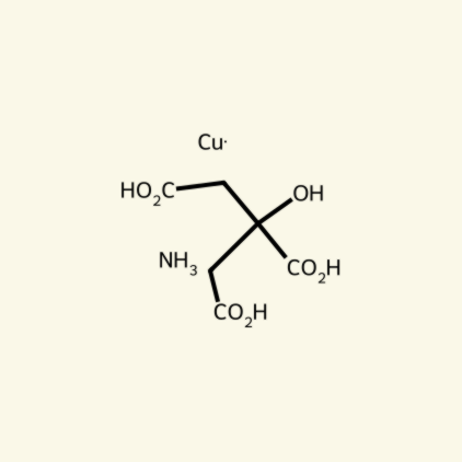 N.O=C(O)CC(O)(CC(=O)O)C(=O)O.[Cu]